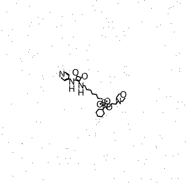 O=c1c(NCCCCCCCS(=O)(=O)N(OCCN2CCOCC2)C2CCCCC2)c(Nc2ccncc2)c1=O